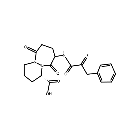 O=C(NC1CCC(=O)N2CCC[C@@H](C(=O)O)N2C1=O)C(=S)Cc1ccccc1